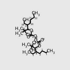 CCCCC(CC)C(OC(=O)OOC(=O)OC(C(CC)CCCC)C(C)(C)C)C(C)(C)C